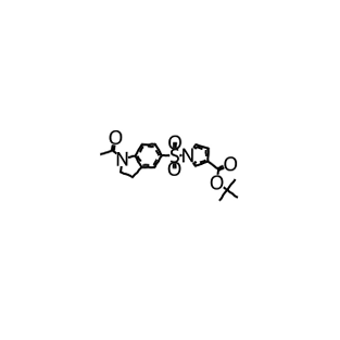 CC(=O)N1CCc2cc(S(=O)(=O)n3ccc(C(=O)OC(C)(C)C)c3)ccc21